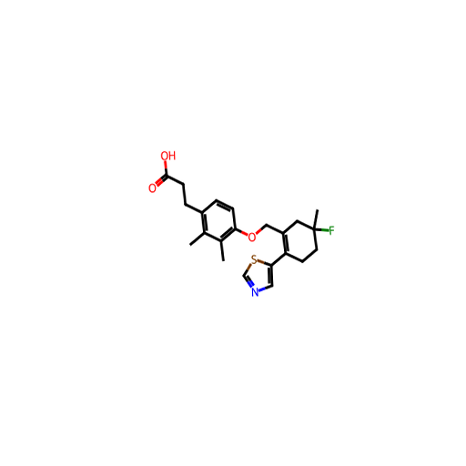 Cc1c(CCC(=O)O)ccc(OCC2=C(c3cncs3)CCC(C)(F)C2)c1C